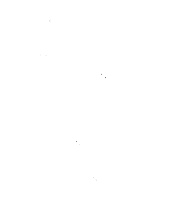 CN(/C=C(C=O)\C=C/C=O)c1cccc(/C(N)=C/N)c1